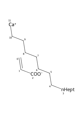 C=CC(=O)[O-].CCCCCCCCCCCCC[CH2][Ca+]